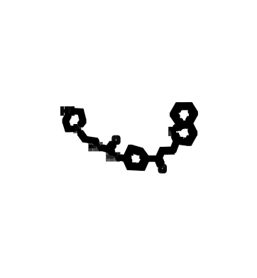 O=C(NCCN1CCNCC1)Nc1ccc(C(=O)C=Cc2ccc3ccccc3n2)cc1